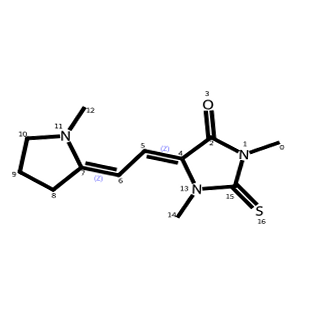 CN1C(=O)/C(=C/C=C2/CCCN2C)N(C)C1=S